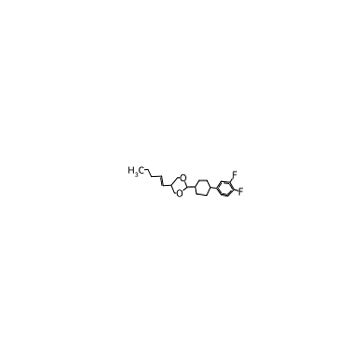 CCC/C=C/C1COC(C2CCC(c3ccc(F)c(F)c3)CC2)OC1